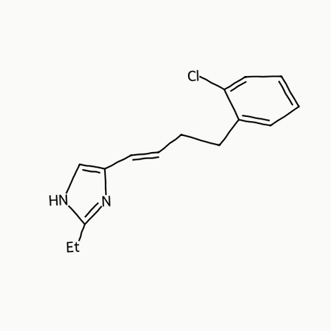 CCc1nc(C=CCCc2ccccc2Cl)c[nH]1